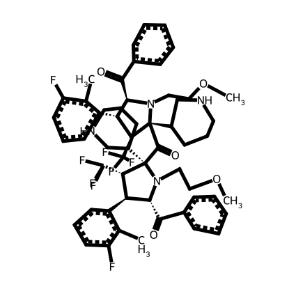 COCCN1[C@H](C(=O)c2ccccc2)[C@@H](c2cccc(F)c2C)[C@H](C(F)(F)F)[C@]1(C(=O)[C@]1(C2CCCNC2)[C@@H](C(F)(F)F)[C@H](c2cccc(F)c2C)[C@@H](C(=O)c2ccccc2)N1CCOC)C1CCCNC1